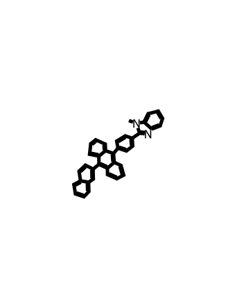 Cn1c(-c2ccc(-c3c4ccccc4c(-c4ccc5ccccc5c4)c4ccccc34)cc2)nc2ccccc21